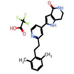 Cc1cccc(C)c1CCc1cc(-c2cc3c([nH]2)CCNC3=O)ccn1.O=C(O)C(F)(F)F